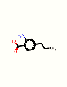 CCCc1ccc(C(=O)O)c(N)c1